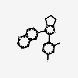 Cc1cc(F)ccc1-c1nc2n(c1-c1ccc3ncccc3c1)CCC2